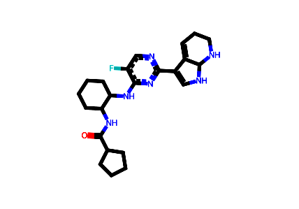 O=C(NC1CCCCC1Nc1nc(C2=CNC3NCCC=C23)ncc1F)C1CCCC1